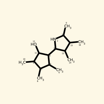 CC1NC(C2C(C)C(C)C(C)C2O)C(C)C1C